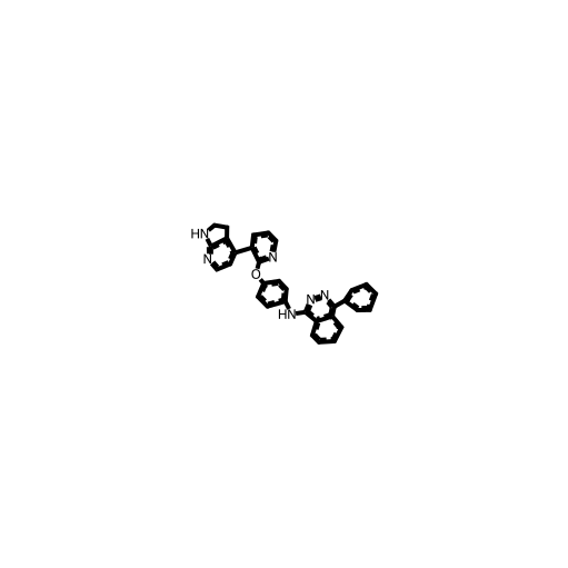 c1ccc(-c2nnc(Nc3ccc(Oc4ncccc4-c4ccnc5c4CCN5)cc3)c3ccccc23)cc1